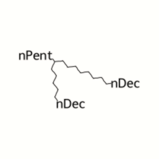 [CH2]CCCCC(CCCCCCCCCCCCCCC)CCCCCCCCCCCCCCCCCC